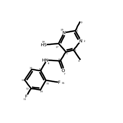 Cc1nc(C)c(C(=O)Nc2ccc(F)cc2F)c(S)n1